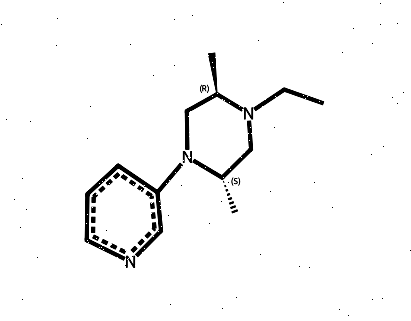 CCN1C[C@H](C)N(c2cccnc2)C[C@H]1C